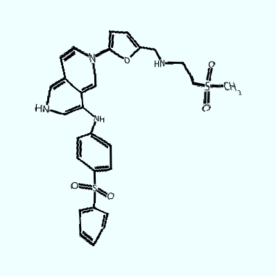 CS(=O)(=O)CCNCc1ccc(N2C=CC3=CNC=C(Nc4ccc(S(=O)(=O)c5ccccc5)cc4)C3=C2)o1